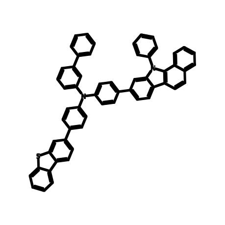 c1ccc(-c2cccc(N(c3ccc(-c4ccc5c(c4)sc4ccccc45)cc3)c3ccc(-c4ccc5c6ccc7ccccc7c6n(-c6ccccc6)c5c4)cc3)c2)cc1